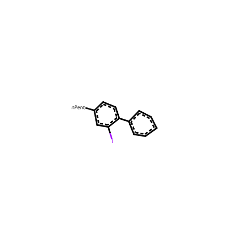 CCCCCc1ccc(-c2ccccc2)c(I)c1